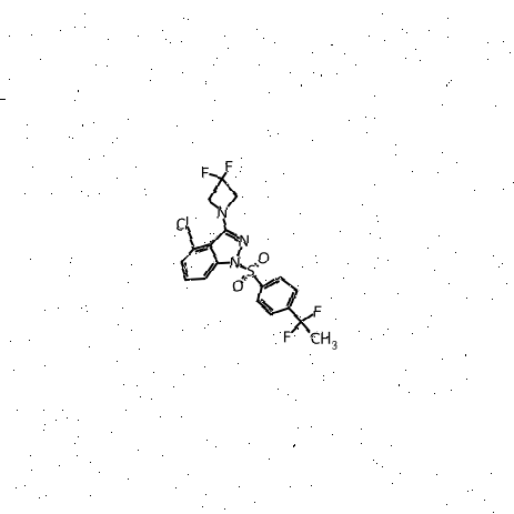 CC(F)(F)c1ccc(S(=O)(=O)n2nc(N3CC(F)(F)C3)c3c(Cl)cccc32)cc1